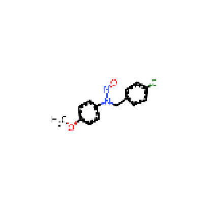 COc1ccc(N(Cc2ccc(Cl)cc2)N=O)cc1